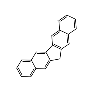 [c]1cccc2cc3c(cc12)-c1cc2ccccc2cc1C3